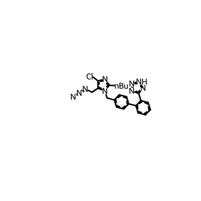 CCCCc1nc(Cl)c(CN=[N+]=[N-])n1Cc1ccc(-c2ccccc2-c2nn[nH]n2)cc1